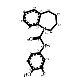 O=C(Nc1ccc(O)c(F)c1)N1CCCCc2ccccc21